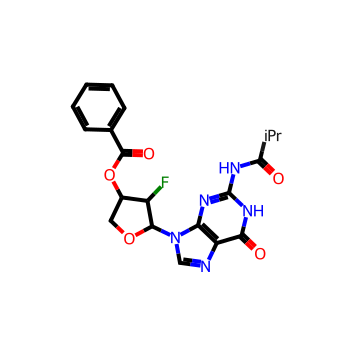 CC(C)C(=O)Nc1nc2c(ncn2C2OCC(OC(=O)c3ccccc3)C2F)c(=O)[nH]1